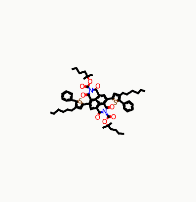 CCCCCCc1cc(-c2cc3c4c(c(-c5cc(CCCCCC)c(-c6ccccc6)s5)cc5c4c2C(=O)N(C(=O)OC(C)(C)CCCC)C5=O)C(=O)N(C(=O)OC(C)(C)CCCC)C3=O)sc1-c1ccccc1